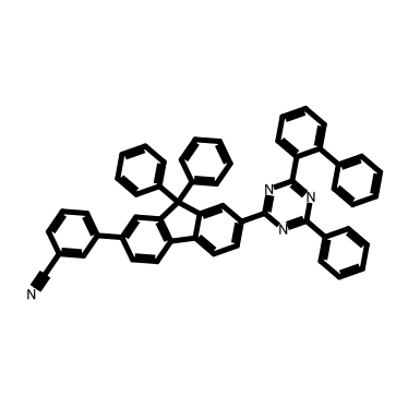 N#Cc1cccc(-c2ccc3c(c2)C(c2ccccc2)(c2ccccc2)c2cc(-c4nc(-c5ccccc5)nc(-c5ccccc5-c5ccccc5)n4)ccc2-3)c1